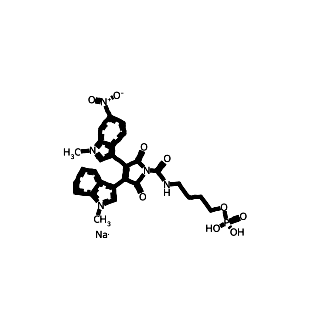 Cn1cc(C2=C(c3cn(C)c4cc([N+](=O)[O-])ccc34)C(=O)N(C(=O)NCCCCOP(=O)(O)O)C2=O)c2ccccc21.[Na]